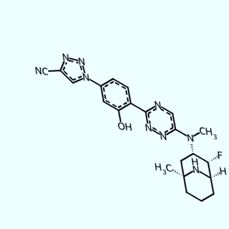 CN(c1cnc(-c2ccc(-n3cc(C#N)nn3)cc2O)nn1)[C@H]1C[C@]2(C)CCC[C@@H](N2)[C@H]1F